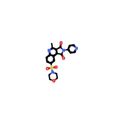 Cc1nc2ccc(S(=O)(=O)N3CCOCC3)cc2c2c1C(=O)N(c1ccncc1)C2=O